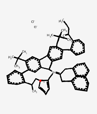 CCC(C)c1ccccc1-c1cc2c(cc1C(C)(C)C)-c1cc(C(C)(C)C)c(-c3ccccc3C(C)CC)cc1[CH]2[Zr+2]([C]1=CC=CC1)=[C](Cc1ccccc1)Cc1ccccc1.[Cl-].[Cl-]